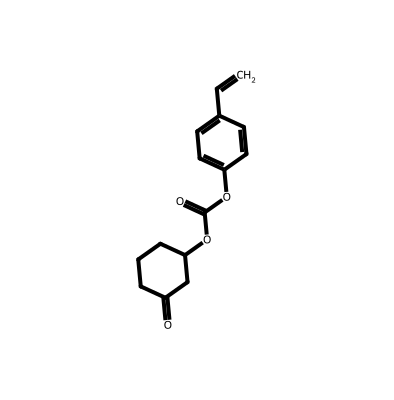 C=Cc1ccc(OC(=O)OC2CCCC(=O)C2)cc1